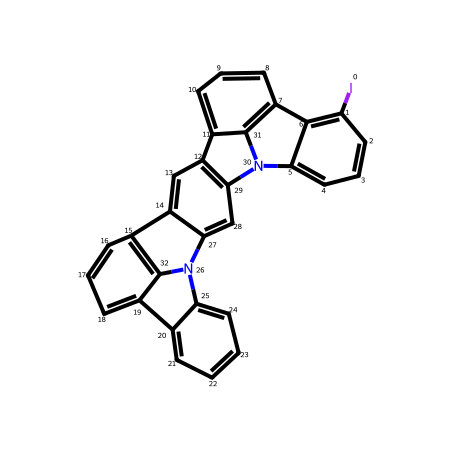 Ic1cccc2c1c1cccc3c4cc5c6cccc7c8ccccc8n(c5cc4n2c31)c76